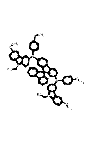 CCn1c2ccc(OC)cc2c2cc(N(c3ccc(OC)cc3)c3ccc4c(c3)C3(c5ccccc5-c5ccccc53)c3cc(N(c5ccc(OC)cc5)c5ccc6c(c5)c5cc(OC)ccc5n6CC)ccc3-4)ccc21